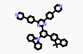 CC1(C)c2ccccc2-c2ccc(-c3cc(-c4nc(-c5ccc(-c6ccncc6)cc5)cc(-c5ccc(-c6ccncc6)cc5)n4)cc(-n4c5ccccc5c5ccccc54)c3)cc21